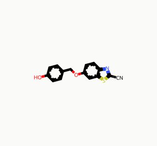 N#Cc1nc2ccc(OCc3ccc(O)cc3)cc2s1